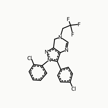 FC(F)(F)CN1C=Nc2c(nn(-c3ccccc3Cl)c2-c2ccc(Cl)cc2)C1